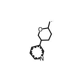 [CH2]C1CCC(c2cccnc2)CO1